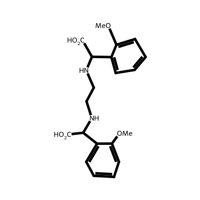 COc1ccccc1C(NCCNC(C(=O)O)c1ccccc1OC)C(=O)O